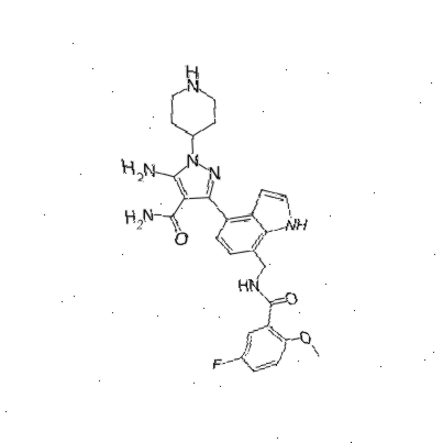 COc1ccc(F)cc1C(=O)NCc1ccc(-c2nn(C3CCNCC3)c(N)c2C(N)=O)c2cc[nH]c12